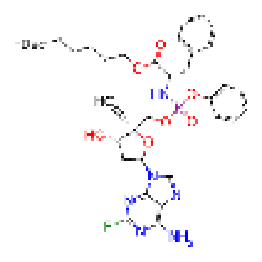 C#C[C@]1(CO[P@@](=O)(N[C@@H](Cc2ccccc2)C(=O)OCCCCCCCCCCCCCCC)Oc2ccccc2)O[C@@H](n2cnc3c(N)nc(F)nc32)C[C@@H]1O